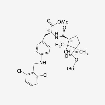 COC(=O)[C@H](Cc1ccc(NCc2c(Cl)cccc2Cl)cc1)NC(=O)[C@H]1CC[C@@](C)(C(=O)OC(C)(C)C)C1(C)C